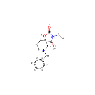 CCN1C(=O)OC2(CCCN(Cc3ccccc3)C2)C1=O